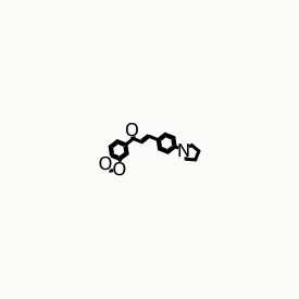 O=C(/C=C/c1ccc(N2CCCC2)cc1)c1ccc2c(c1)OCO2